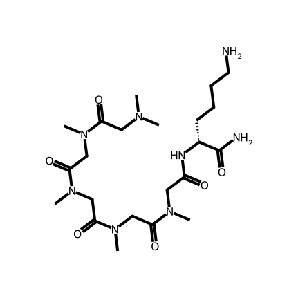 CN(C)CC(=O)N(C)CC(=O)N(C)CC(=O)N(C)CC(=O)N(C)CC(=O)N[C@H](CCCCN)C(N)=O